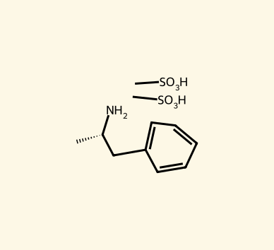 CS(=O)(=O)O.CS(=O)(=O)O.C[C@H](N)Cc1ccccc1